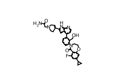 NC(=O)CN1CC=C(c2cc3c(-c4cccc(N5CCOc6cc(C7CC7)cc(F)c6C5=O)c4CO)ccnc3[nH]2)CC1